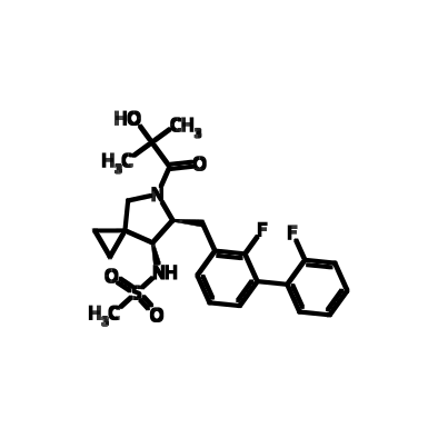 CC(C)(O)C(=O)N1CC2(CC2)[C@H](NS(C)(=O)=O)[C@@H]1Cc1cccc(-c2ccccc2F)c1F